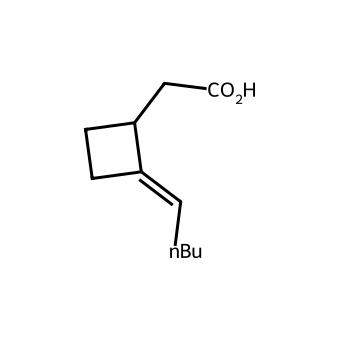 CCCCC=C1CCC1CC(=O)O